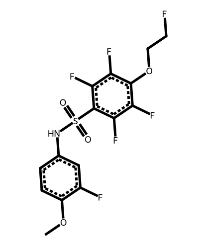 COc1ccc(NS(=O)(=O)c2c(F)c(F)c(OCCF)c(F)c2F)cc1F